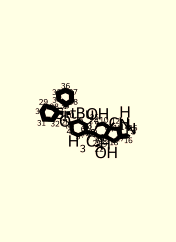 CC(C)(C)[Si](O[C@H]1CC[C@](C)([C@H]2CC[C@]3(C)c4[nH]ncc4C[C@H]3[C@@H]2CO)[C@@H](CO)C1)(c1ccccc1)c1ccccc1